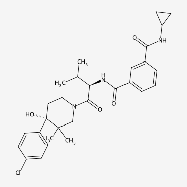 CC(C)[C@@H](NC(=O)c1cccc(C(=O)NC2CC2)c1)C(=O)N1CC[C@](O)(c2ccc(Cl)cc2)C(C)(C)C1